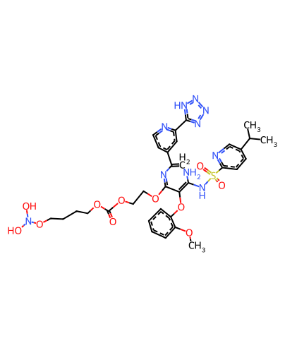 C=C(/N=C(OCCOC(=O)OCCCCON(O)O)\C(Oc1ccccc1OC)=C(/N)NS(=O)(=O)c1ccc(C(C)C)cn1)c1ccnc(-c2nnn[nH]2)c1